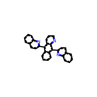 c1ccc2nc(-c3c4ccccc4c(-c4ccc5ccccc5n4)c4ncccc34)ccc2c1